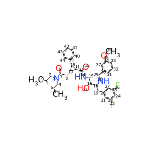 CCCN(CCC)C(=O)C[C@H]1[C@H](C(=O)NC[C@@H](O)C(Cc2cc(F)cc(F)c2)NCc2cccc(OC)c2)[C@H]1c1ccccc1